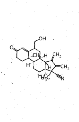 C=C1C(=C)C(C)(C#N)[C@@]2(C)CC[C@@H]3[C@@H](CC(CO)C4=CC(=O)CC[C@@]43C)[C@H]12